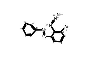 CC(=O)c1cccc(N=Nc2ccccc2)c1N=[N+]=[N-]